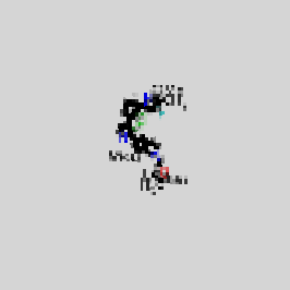 [CH2]c1c(F)cc(-c2cccc(-c3ccnc(-c4cc5c(c(OC)c4)CN(CCO[Si](C)(C)C(C)(C)C)CC5)c3Cl)c2Cl)nc1OC